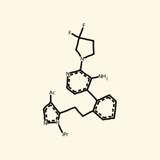 CC(=O)c1cnn(C(C)C)c1CCc1ccccc1-c1ccnc(N2CCC(F)(F)C2)c1N